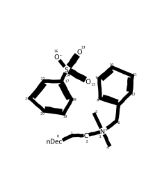 CCCCCCCCCCCC[N+](C)(C)Cc1ccccc1.O=S(=O)([O-])c1ccccc1